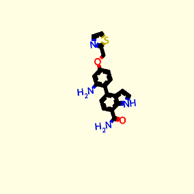 NC(=O)c1ccc(-c2ccc(OCc3nccs3)cc2N)c2cc[nH]c12